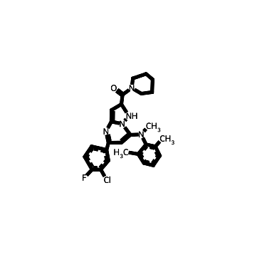 Cc1cccc(C)c1N(C)C1=CC(c2ccc(F)c(Cl)c2)=NC2=CC(C(=O)N3CCCCC3)NN21